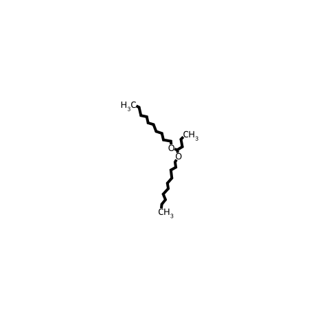 CCCCCCCCCCOC(CCC)OCCCCCCCCCC